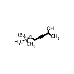 CC(O)C#CCO[Si](C)(C)C(C)(C)C